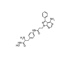 Nc1ncnc2c1c(-c1ccccc1)nn2CCC(=O)Nc1ccc(CC(N)C(=O)NO)cc1